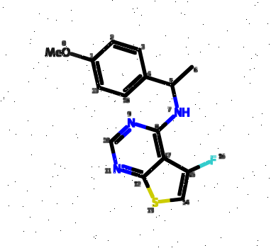 COc1ccc(C(C)Nc2ncnc3scc(F)c23)cc1